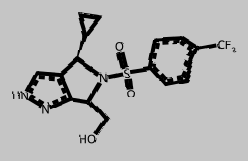 O=S(=O)(c1ccc(C(F)(F)F)cc1)N1C(CO)c2n[nH]cc2[C@H]1C1CC1